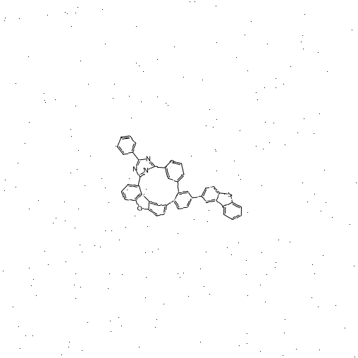 c1ccc(-c2nc3nc(n2)c2cccc4oc5ccc(cc5c42)c2ccc(-c4ccc5sc6ccccc6c5c4)cc2c2cccc3c2)cc1